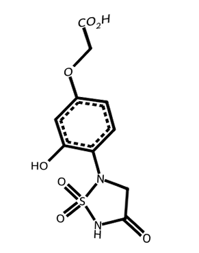 O=C(O)COc1ccc(N2CC(=O)NS2(=O)=O)c(O)c1